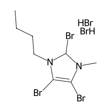 Br.Br.CCCCN1C(Br)=C(Br)N(C)C1Br